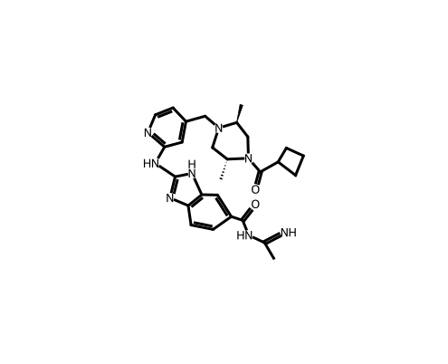 CC(=N)NC(=O)c1ccc2nc(Nc3cc(CN4C[C@@H](C)N(C(=O)C5CCC5)C[C@@H]4C)ccn3)[nH]c2c1